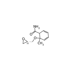 CC1(OC[C@@H]2CO2)C=CC=CC1C(N)=O